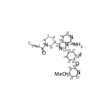 CC#CC(=O)N1CCCC(c2nc(-c3ccc(Oc4cc(OC)ccn4)c(F)c3)n3c(N)nccc23)C1